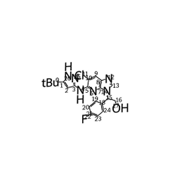 CC(C)(C)c1cc(Nc2nc3c(cc2Cl)ncn3C(CO)c2ccc(F)cc2)n[nH]1